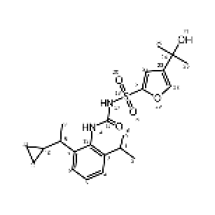 CC(C)c1cccc(C(C)C2CC2)c1NC(=O)NS(=O)(=O)c1cc(C(C)(C)O)co1